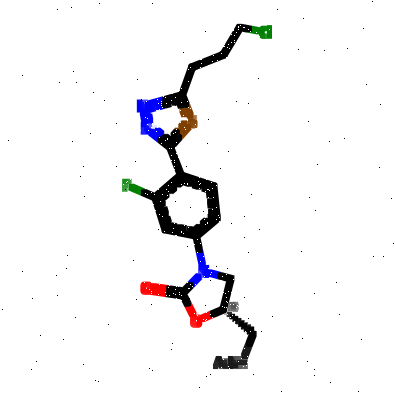 CC(=O)NC[C@H]1CN(c2ccc(-c3nnc(CCCCl)s3)c(F)c2)C(=O)O1